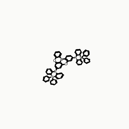 c1ccc([Si]2(c3ccccc3)c3ccccc3N(c3ccc4c(c3)Oc3cc(N5c6ccccc6[Si](c6ccccc6)(c6ccccc6)c6ccccc65)cc5c3B4c3ccccc3O5)c3ccccc32)cc1